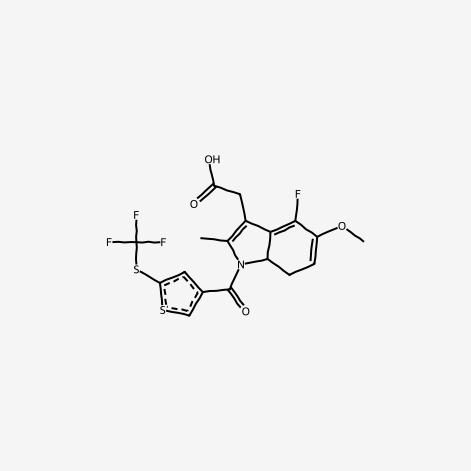 COC1=CCC2C(=C1F)C(CC(=O)O)=C(C)N2C(=O)c1csc(SC(F)(F)F)c1